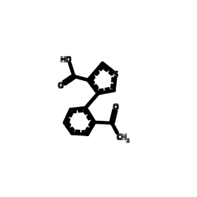 CC(=O)c1ccccc1-c1cscc1C(=O)O